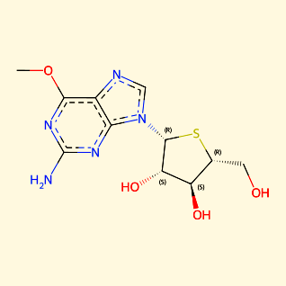 COc1nc(N)nc2c1ncn2[C@@H]1S[C@H](CO)[C@@H](O)[C@@H]1O